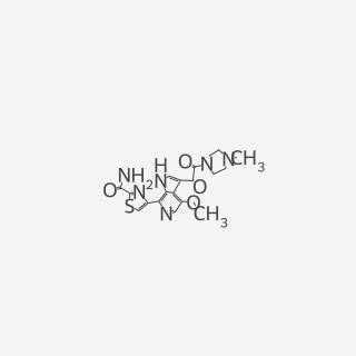 COc1cnc(-c2csc(C(N)=O)n2)c2[nH]cc(C(=O)C(=O)N3CCN(C)CC3)c12